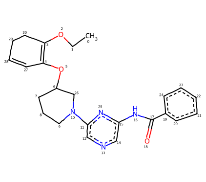 CCOC1=C(OC2CCCN(c3cncc(NC(=O)c4ccccc4)n3)C2)C=CCC1